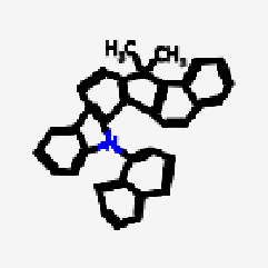 CC1(C)c2ccc3c4ccccc4n(-c4cccc5ccccc45)c3c2-c2ccc3ccccc3c21